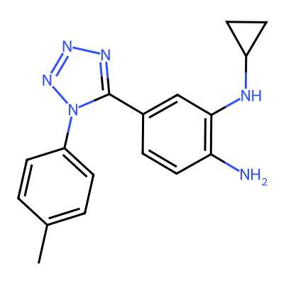 Cc1ccc(-n2nnnc2-c2ccc(N)c(NC3CC3)c2)cc1